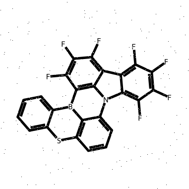 Fc1c(F)c(F)c2c(c1F)c1c(F)c(F)c(F)c3c1n2-c1cccc2c1B3c1ccccc1S2